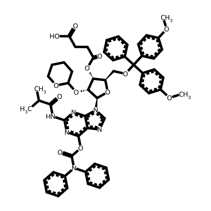 COc1ccc(C(OC[C@H]2O[C@@H](n3cnc4c(OC(=O)N(c5ccccc5)c5ccccc5)nc(NC(=O)C(C)C)nc43)[C@H](OC3CCCCO3)[C@@H]2OC(=O)CCC(=O)O)(c2ccccc2)c2ccc(OC)cc2)cc1